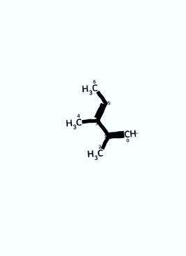 [CH]=C(C)/C(C)=C/C